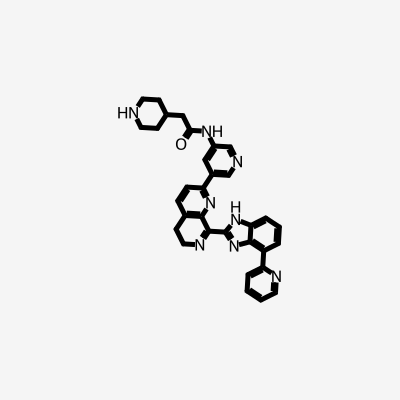 O=C(CC1CCNCC1)Nc1cncc(-c2ccc3c(n2)C(c2nc4c(-c5ccccn5)cccc4[nH]2)=NCC3)c1